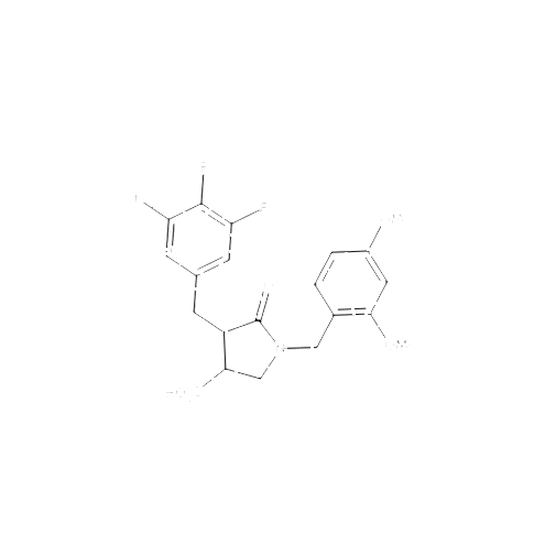 COc1ccc(CN2CC(C(=O)O)C(Cc3cc(F)c(F)c(F)c3)C2=O)c(OC)c1